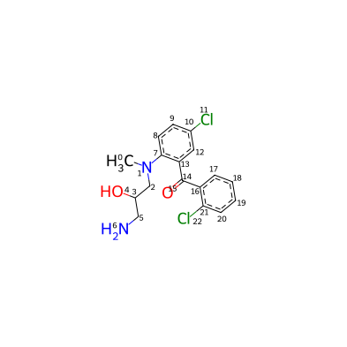 CN(CC(O)CN)c1ccc(Cl)cc1C(=O)c1ccccc1Cl